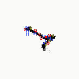 Cc1ccc2nc(NC(=O)CSc3nc4c(c(=O)n3-c3ccc(CNC(=O)CCOCCNC(=O)CCCC5SCC6NC(=O)NC65)cc3)SCC4)sc2c1